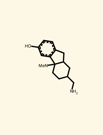 CNC12CCC(CN)CC1Cc1ccc(O)cc12